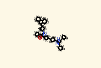 c1ccc(-c2cc(-c3ccccc3)nc(-c3ccc(-c4ccc5c(c4)nc(-c4ccc(-c6cc7ccccc7c7ccccc67)cc4)c4c6ccccc6oc54)cc3)n2)cc1